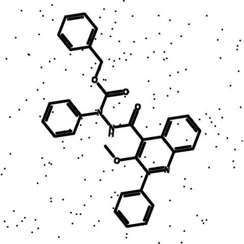 COc1c(-c2ccccc2)nc2ccccc2c1C(=O)NN(C(=O)OCc1ccccc1)c1ccccc1